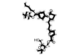 CCCCC[C@H](O[Si](C)(C)C(C)(C)C)c1ccc(N2C(=O)CCC2CCCc2ccc(C(=O)OC[C@@H]3OC(C)(C)O[C@H]3CO)s2)cc1